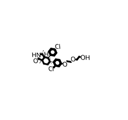 C[C@H]1NC(=O)[C@]2(C)CC[C@@H](c3ccc(OCCOCCO)cc3Cl)[C@H](c3ccc(Cl)cc3)[C@H]12